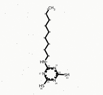 CCCCCCCCCNc1nc(S)nc(S)n1